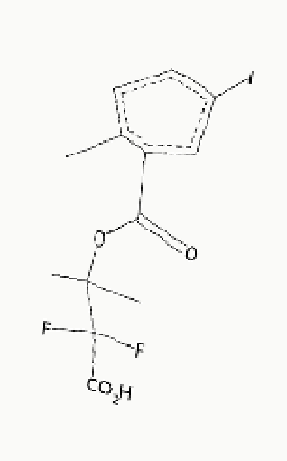 Cc1ccc(I)cc1C(=O)OC(C)(C)C(F)(F)C(=O)O